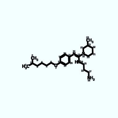 CC(C)CCCCOc1ccc(/N=C(\NCCCN)N2CCCC(C)C2)cc1